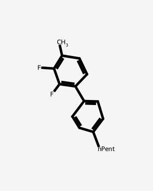 CCCCCc1ccc(-c2ccc(C)c(F)c2F)cc1